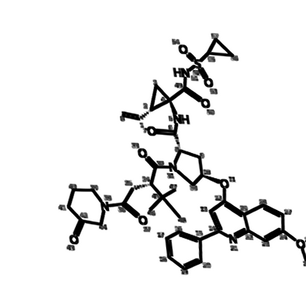 C=C[C@@H]1C[C@]1(NC(=O)[C@@H]1C[C@@H](Oc2cc(-c3ccccc3)nc3cc(OC)ccc23)CN1C(=O)[C@@H](CC(=O)N1CCCC(=O)C1)C(C)(C)C)C(=O)NS(=O)(=O)C1CC1